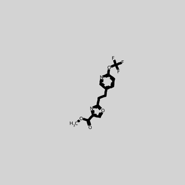 COC(=O)c1coc(CCc2ccc(OC(F)(F)F)nc2)n1